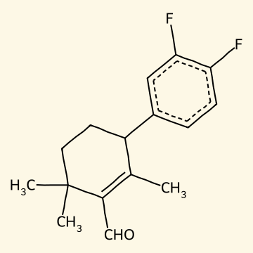 CC1=C(C=O)C(C)(C)CCC1c1ccc(F)c(F)c1